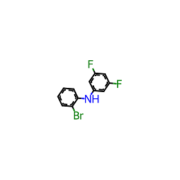 Fc1cc(F)cc(Nc2ccccc2Br)c1